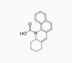 O=C(O)N1c2c(ccc3ccccc23)C=C2CCCCC21